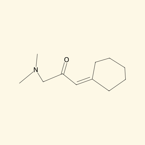 CN(C)CC(=O)C=C1CCCCC1